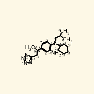 CC(C)CN(c1ccc([C@H](C)Cc2nnn[nH]2)cc1N)C1CCCCC1